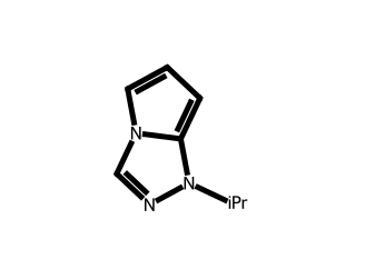 CC(C)n1ncn2cccc12